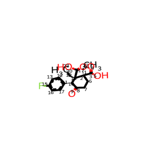 CC[C@]1(C(=O)O)CCC(=O)[C@H](c2ccc(F)cc2)[C@]1(CC)C(=O)O